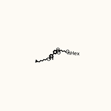 CCCCCCOCCCCC1Oc2ccc(-c3ccc(OCCCCCCC4CC4)nc3)cc2O1